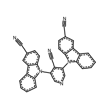 N#Cc1ccc2c(c1)c1ccccc1n2-c1cncc(-n2c3ccccc3c3cc(C#N)ccc32)c1C#N